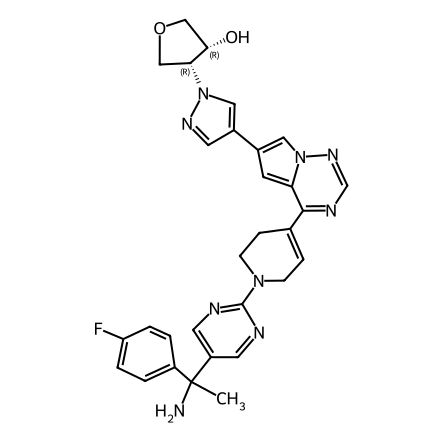 CC(N)(c1ccc(F)cc1)c1cnc(N2CC=C(c3ncnn4cc(-c5cnn([C@@H]6COC[C@@H]6O)c5)cc34)CC2)nc1